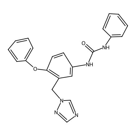 O=C(Nc1ccccc1)Nc1ccc(Oc2ccccc2)c(Cn2cncn2)c1